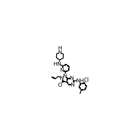 C=CCn1c(=O)c2cnc(Nc3cc(C)ccc3Cl)nc2n1-c1cccc(NC2CCNCC2)n1